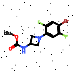 CC(C)(C)OC(=O)NC1CN(c2cc(F)c(Br)cc2F)C1